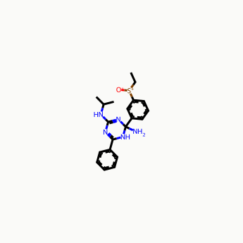 CC[S+]([O-])c1cccc(C2(N)N=C(NC(C)C)N=C(c3ccccc3)N2)c1